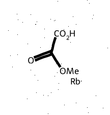 COC(=O)C(=O)O.[Rb]